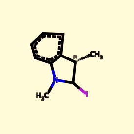 C[C@H]1c2ccccc2N(C)C1I